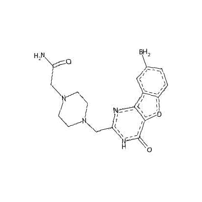 Bc1ccc2oc3c(=O)[nH]c(CN4CCN(CC(N)=O)CC4)nc3c2c1